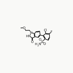 COCCn1[nH]c(=O)c2cc(-c3c(S(N)(=O)=O)ccc(F)c3Cl)ccc21